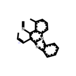 C=Nc1c(/C=C\C)c2nc3ccccc3n2c2cccc(C)c12